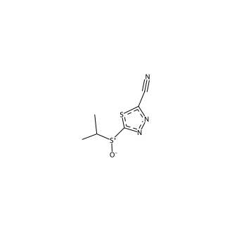 CC(C)[S+]([O-])c1nnc(C#N)s1